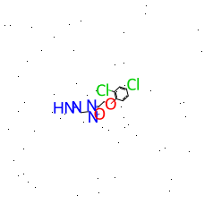 N=NCc1noc(COc2ccc(Cl)cc2Cl)n1